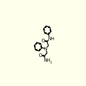 NC(=O)CN(CC(=O)Nc1ccccc1)c1ccccc1